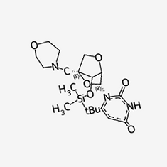 CC(C)(C)[Si](C)(C)OC1C2OC[C@]1(CN1CCOCC1)O[C@H]2n1ccc(=O)[nH]c1=O